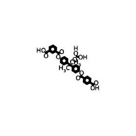 CC(C)(c1ccc(OC(=O)c2ccc(C(=O)O)cc2)cc1)c1ccc(OC(=O)c2cccc(C(=O)O)c2)cc1.O=C(O)O